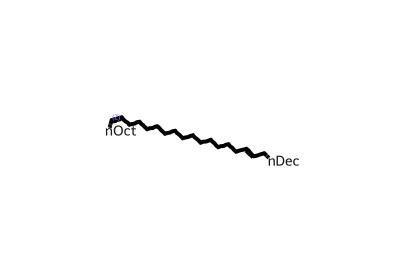 CCCCCCCC/C=C\CCCCCCCCCCCCCC=CCCCCCCCCCCC